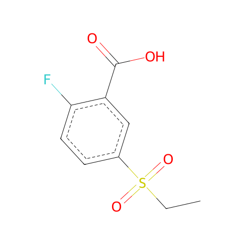 CCS(=O)(=O)c1ccc(F)c(C(=O)O)c1